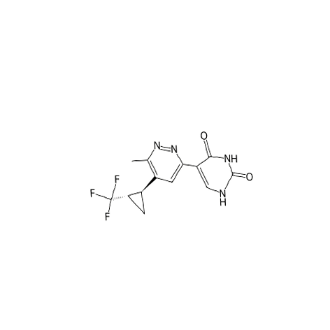 Cc1nnc(-c2c[nH]c(=O)[nH]c2=O)cc1[C@H]1C[C@@H]1C(F)(F)F